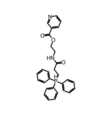 O=C(CC[PH](c1ccccc1)(c1ccccc1)c1ccccc1)NCCOC(=O)c1cccnc1